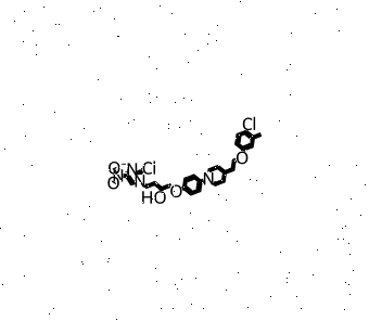 Cc1cc(OCCC2CCN(c3ccc(OCC(O)CCn4cc([N+](=O)[O-])nc4Cl)cc3)CC2)ccc1Cl